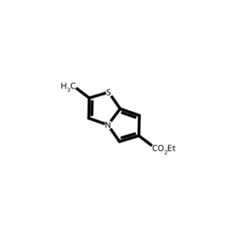 CCOC(=O)c1cc2sc(C)cn2c1